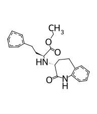 CCOC(=O)[C@H](CCc1ccccc1)N[C@@H]1CCc2ccccc2NC1=O